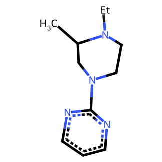 CCN1CCN(c2ncccn2)CC1C